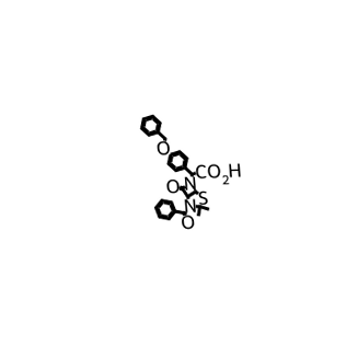 CC1(C)SC2C(C(=O)N2C(C(=O)O)c2ccc(OCc3ccccc3)cc2)N1C(=O)c1ccccc1